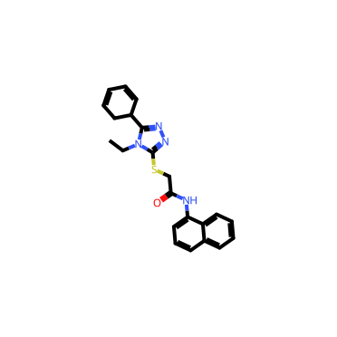 CCn1c(SCC(=O)Nc2cccc3ccccc23)nnc1C1C=CC=CC1